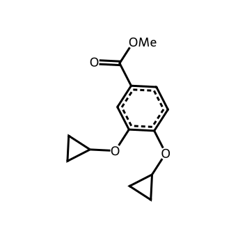 COC(=O)c1ccc(OC2CC2)c(OC2CC2)c1